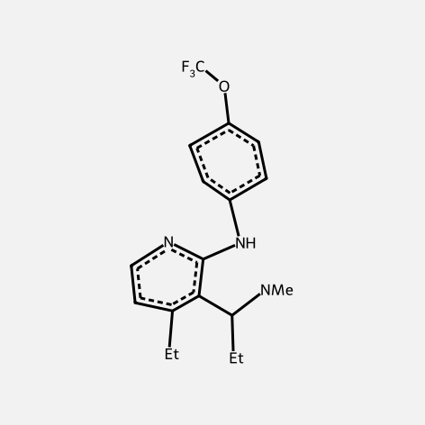 CCc1ccnc(Nc2ccc(OC(F)(F)F)cc2)c1C(CC)NC